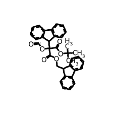 CC(C)(C)OC(=O)C(O[C]=O)(C(=O)OCC1c2ccccc2-c2ccccc21)C1c2ccccc2-c2ccccc21